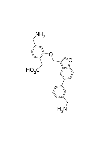 NCc1cccc(-c2ccc3occ(COc4cc(CN)ccc4CC(=O)O)c3c2)c1